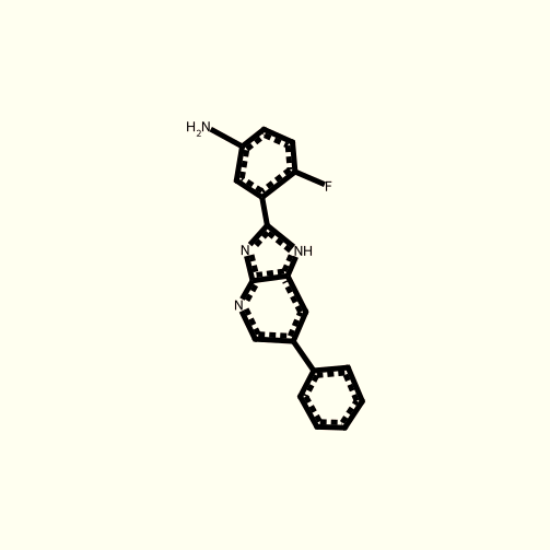 Nc1ccc(F)c(-c2nc3ncc(-c4ccccc4)cc3[nH]2)c1